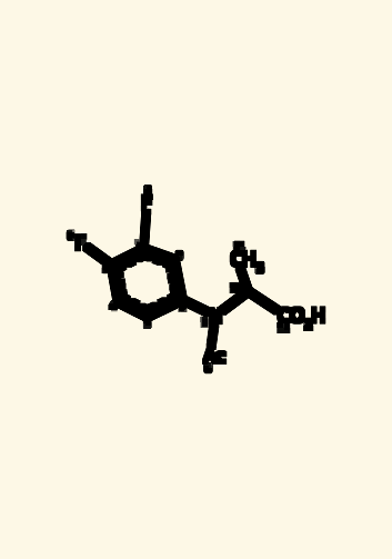 CC(=O)N(c1ccc(F)c(F)c1)C(C)C(=O)O